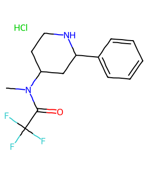 CN(C(=O)C(F)(F)F)C1CCNC(c2ccccc2)C1.Cl